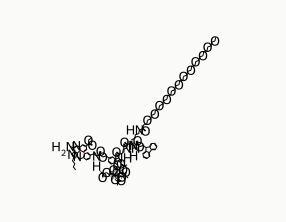 CCCCc1nc2c(N)nc3cc(C(=O)OC)ccc3c2n1Cc1ccc(CNC(=O)OCc2ccc(O[C@H]3O[C@H](COC(C)=O)[C@@H](OC(C)=O)[C@H](OC(C)=O)[C@@H]3OC(C)=O)c(NC(=O)CCNC(=O)[C@H](CCCCNC(=O)CCOCCOCCOCCOCCOCCOCCOCCOCCOCCOCCOCCOC)NC(=O)OCC3c4ccccc4-c4ccccc43)c2)cc1